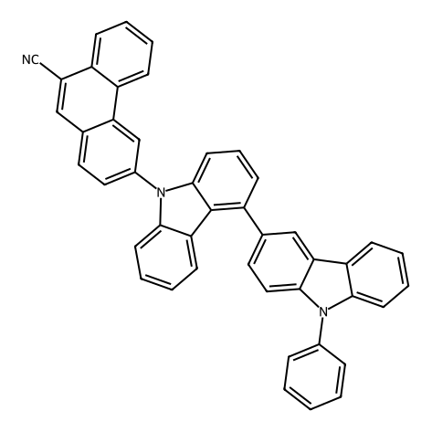 N#Cc1cc2ccc(-n3c4ccccc4c4c(-c5ccc6c(c5)c5ccccc5n6-c5ccccc5)cccc43)cc2c2ccccc12